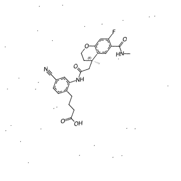 CNC(=O)c1cc2c(cc1F)OCC[C@]2(C)CC(=O)Nc1cc(C#N)ccc1CCCC(=O)O